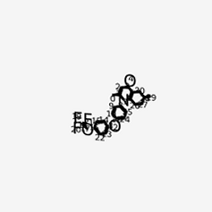 Cc1cc(=O)c2c(n1-c1ccc(Oc3ccc(OC(F)(F)F)cc3)cc1)CCC(C)C2